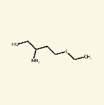 CCSCCC(N)CO